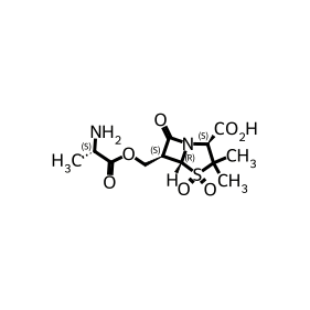 C[C@H](N)C(=O)OC[C@H]1C(=O)N2[C@@H](C(=O)O)C(C)(C)S(=O)(=O)[C@H]12